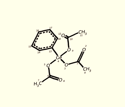 CC(=O)[O][Ge]([O]C(C)=O)([O]C(C)=O)[c]1ccccc1